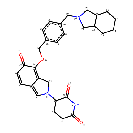 O=C1CCC(N2C=C3C=CC(=O)C(OCc4ccc(CN5CC6CCCCC6C5)cc4)=C3C2)C(=O)N1